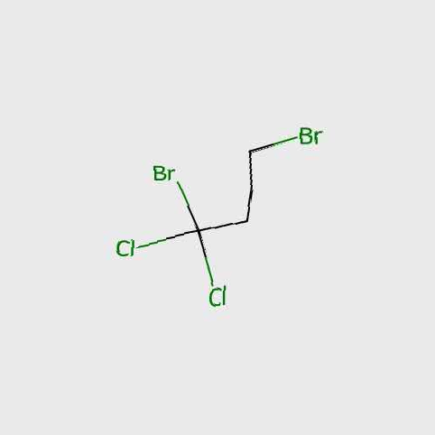 ClC(Cl)(Br)CCBr